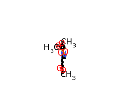 CCOC(=O)/C=C/C=C/c1ccn(S(=O)(=O)c2ccc(OC)c(OC)c2)c1